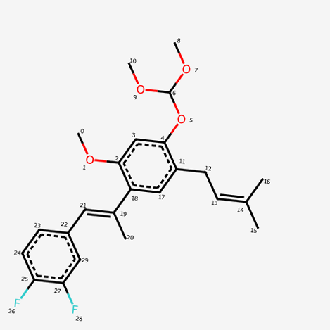 COc1cc(OC(OC)OC)c(CC=C(C)C)cc1/C(C)=C/c1ccc(F)c(F)c1